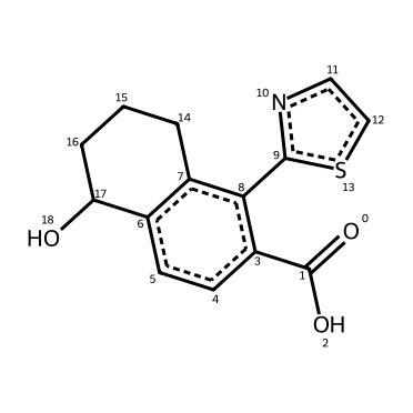 O=C(O)c1ccc2c(c1-c1nccs1)CCCC2O